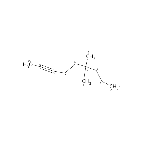 [CH2]CCC(C)(C)CCC#CC